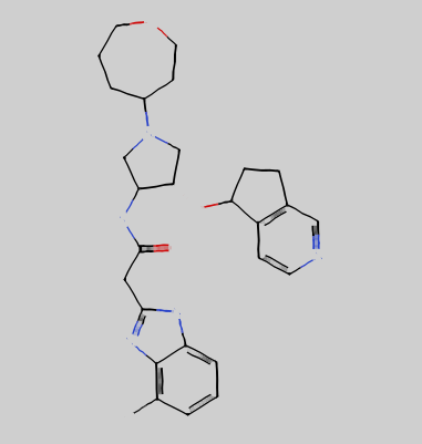 O=C(Cc1nc2c(C(F)(F)F)cccc2[nH]1)NC1CN(C2CCCOCC2)C[C@@H]1OC1CCc2cnccc21